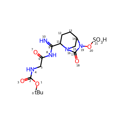 CC(C)(C)OC(=O)NCC(=O)NC(=N)C1CCC2CN1C(=O)N2OS(=O)(=O)O